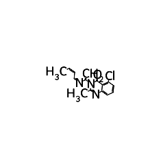 C=C(/N=C\C=C/C)n1c(C)nc2cccc(Cl)c2c1=O